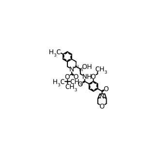 CCOc1cc(C(=O)N2C3CCC2COC3)ccc1C(=O)NC[C@@H](O)[C@@H]1Cc2ccc(C)cc2CN1C(=O)OC(C)(C)C